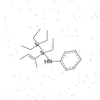 C/C=C(\C)[Si](CC)(Nc1ccccc1)[Si](CC)(CC)CC